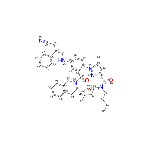 CCCCN(CCCC)C(=O)c1cc(C)n(-c2ccc(NCC(CC#N)c3ccccc3)cc2C(=O)N2Cc3ccccc3C[C@H]2CO)n1